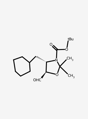 CC(C)(C)OC(=O)N1[C@@H](CC2CCCCC2)[C@H](C=O)OC1(C)C